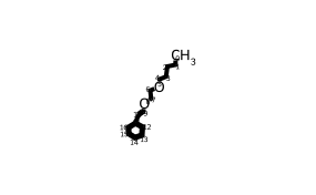 CCCCCOCCOC=Cc1ccccc1